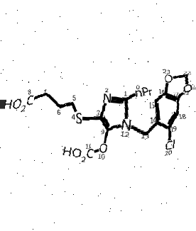 CCCc1nc(SCCCC(=O)O)c(OC(=O)O)n1Cc1cc2c(cc1Cl)OCO2